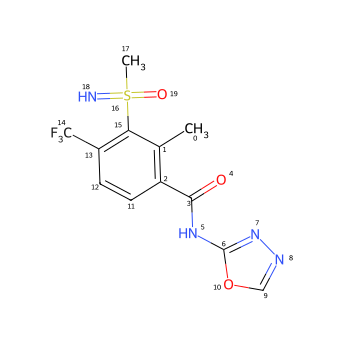 Cc1c(C(=O)Nc2nnco2)ccc(C(F)(F)F)c1S(C)(=N)=O